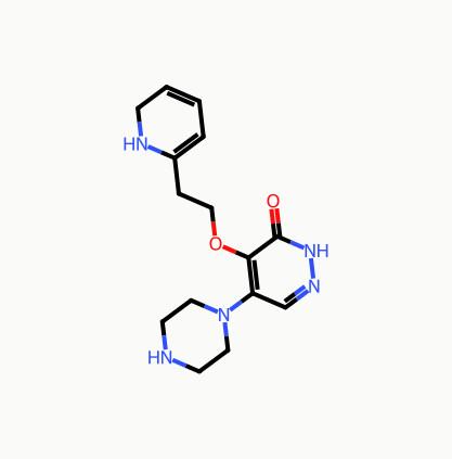 O=c1[nH]ncc(N2CCNCC2)c1OCCC1=CC=CCN1